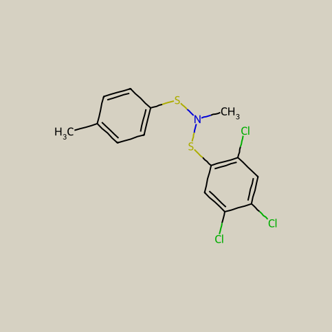 Cc1ccc(SN(C)Sc2cc(Cl)c(Cl)cc2Cl)cc1